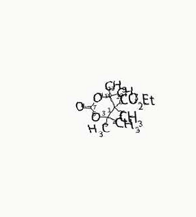 CCOC(=O)C1(C)C(C)(C)OC(=O)OC1(C)C